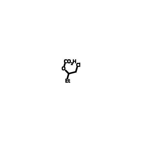 CCC(CCl)OC(=O)O